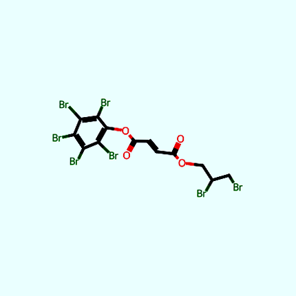 O=C(C=CC(=O)Oc1c(Br)c(Br)c(Br)c(Br)c1Br)OCC(Br)CBr